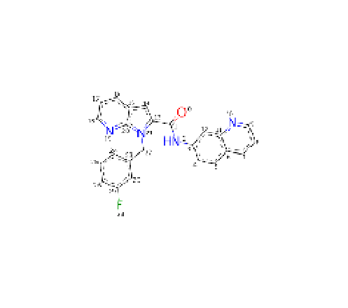 O=C(Nc1ccc2cccnc2c1)c1cc2cccnc2n1Cc1cccc(F)c1